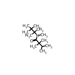 CC(C)C(C)(C)C(=O)N(C)C(C)(C)C(C)(C)C